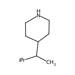 CC(C)C(C)C1CCNCC1